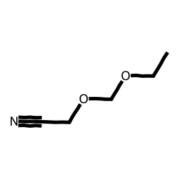 CCOCOCC#N